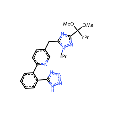 CCCn1nc(C(CCC)(OC)OC)nc1Cc1ccc(-c2ccccc2-c2nnn[nH]2)nc1